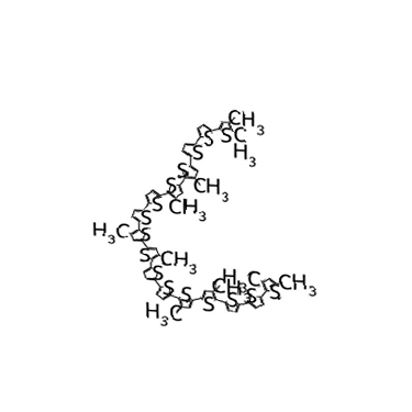 Cc1cc(C)c(-c2ccc(-c3ccc(-c4sc(-c5cc(C)c(-c6ccc(-c7ccc(-c8sc(-c9cc(C)c(-c%10ccc(-c%11ccc(-c%12sc(-c%13sc(-c%14ccc(-c%15ccc(-c%16cc(C)c(C)s%16)s%15)s%14)cc%13C)cc%12C)s%11)s%10)s9)cc8C)s7)s6)s5)cc4C)s3)s2)s1